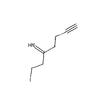 C#CCCC(=N)CCI